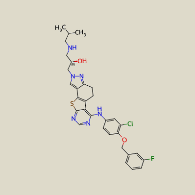 CC(C)CNC[C@@H](O)Cn1cc2c(n1)CCc1c-2sc2ncnc(Nc3ccc(OCc4cccc(F)c4)c(Cl)c3)c12